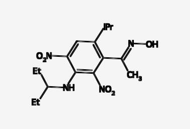 CCC(CC)Nc1c([N+](=O)[O-])cc(C(C)C)c(C(C)=NO)c1[N+](=O)[O-]